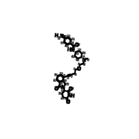 CN(CCOCCC#Cc1cccc2c1CN(C1CCC(=O)NC1=O)C2=O)[C@H]1CC[C@@H](NC(=O)c2ccc(N)cc2)CC1